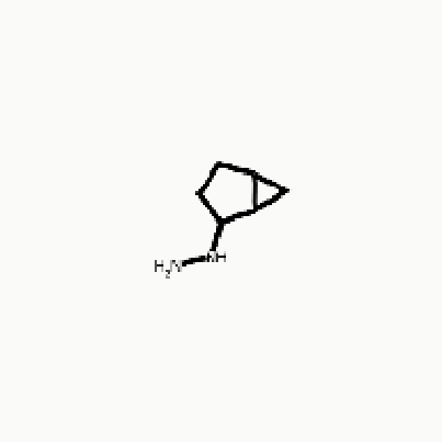 NNC1CCC2CC21